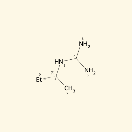 CC[C@@H](C)NC(N)N